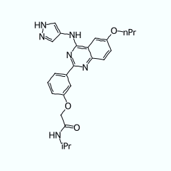 CCCOc1ccc2nc(-c3cccc(OCC(=O)NC(C)C)c3)nc(Nc3cn[nH]c3)c2c1